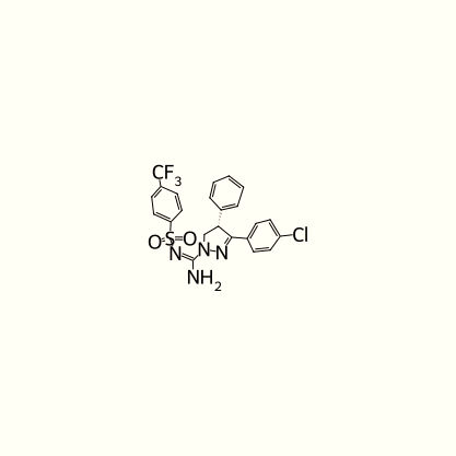 N/C(=N/S(=O)(=O)c1ccc(C(F)(F)F)cc1)N1C[C@H](c2ccccc2)C(c2ccc(Cl)cc2)=N1